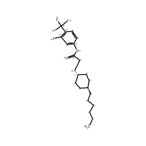 CCCCCC[C@H]1CC[C@H](CCC(=O)Oc2ccc(C(F)(F)F)c(F)c2)CC1